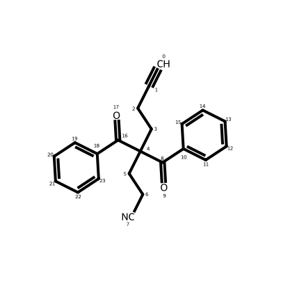 C#CCCC(CCC#N)(C(=O)c1ccccc1)C(=O)c1ccccc1